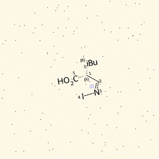 CC[C@@H](C)[C@H](/C=N\I)C(=O)O